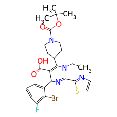 CCN1C(c2nccs2)=NC(c2cccc(F)c2Br)C(C(=O)O)=C1C1CCN(C(=O)OC(C)(C)C)CC1